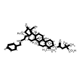 CC(=O)O[C@@H](CNCc1ccc(F)cc1)[C@@]12CC[C@]3(C)[C@H](CC[C@@H]4[C@@]5(C)CC[C@H](OC(=O)CC(C)(C)C(=O)O)C(C)(C)C5CC[C@]43C)C1=C(C(C)C)C(=O)C2